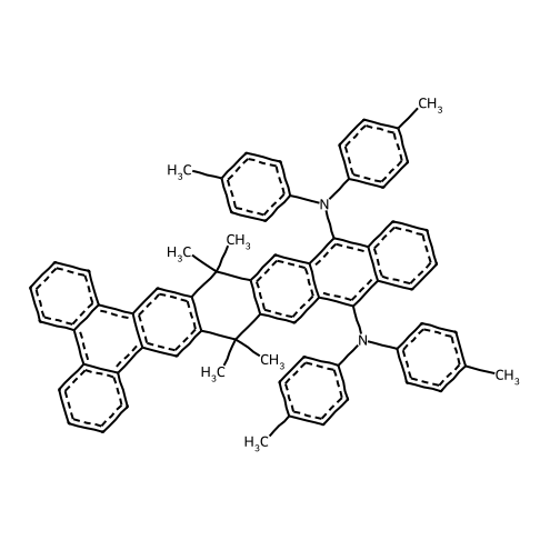 Cc1ccc(N(c2ccc(C)cc2)c2c3ccccc3c(N(c3ccc(C)cc3)c3ccc(C)cc3)c3cc4c(cc23)C(C)(C)c2cc3c5ccccc5c5ccccc5c3cc2C4(C)C)cc1